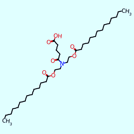 CCCCCCCCCCCCCC(=O)OCCN(CCOC(=O)CCCCCCCCCCCCC)C(=O)CCCC(=O)O